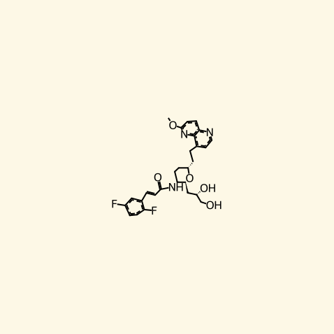 COc1ccc2nccc(CC[C@H]3CC[C@@H](NC(=O)/C=C/c4cc(F)ccc4F)[C@H](C[C@H](O)CO)O3)c2n1